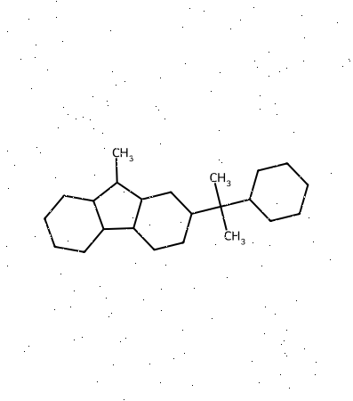 CC1C2CCCCC2C2CCC(C(C)(C)C3CCCCC3)CC12